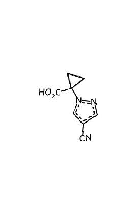 N#Cc1cnn(C2(C(=O)O)CC2)c1